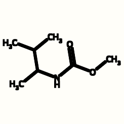 COC(=O)NC(C)C(C)C